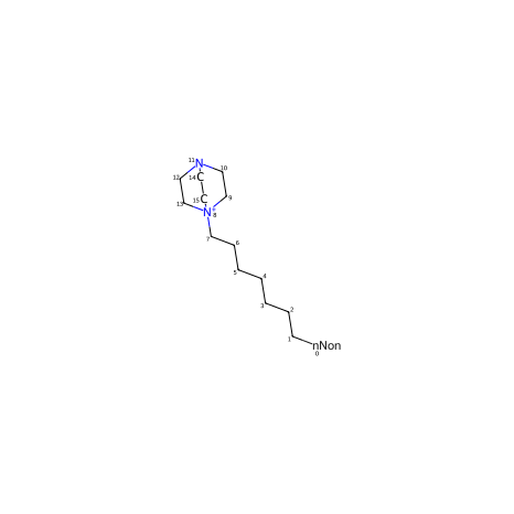 CCCCCCCCCCCCCCCC[N+]12CCN(CC1)CC2